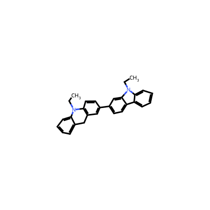 CCN1c2ccccc2Cc2cc(-c3ccc4c5ccccc5n(CC)c4c3)ccc21